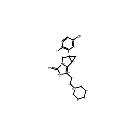 Fc1ccc(Cl)cc1[C@]12CC1c1c(CCN3CCCCC3)[nH]c(=S)n1C2